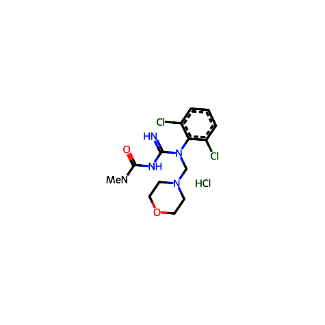 CNC(=O)NC(=N)N(CN1CCOCC1)c1c(Cl)cccc1Cl.Cl